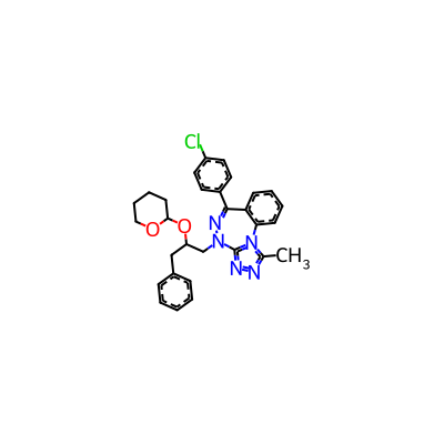 Cc1nnc2n1-c1ccccc1C(c1ccc(Cl)cc1)=NN2CC(Cc1ccccc1)OC1CCCCO1